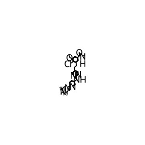 CNC(=O)c1cc(CCc2cnc(Nc3ccc(N4C[C@@H](C)N(C)[C@@H](C)C4)nc3)nc2)c(Cl)c(OC)c1